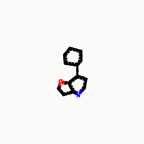 c1ccc(-c2ccnc3ccoc23)cc1